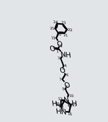 O=C(NCCOCCOCCN1C[C@@H]2C[C@H]1CN2)OCc1ccccc1